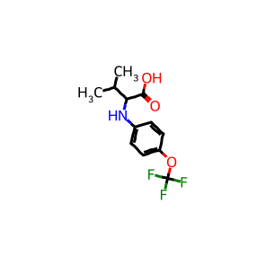 CC(C)C(Nc1ccc(OC(F)(F)F)cc1)C(=O)O